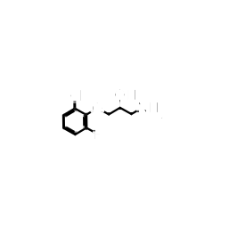 NC[C@@H](O)COc1c(F)cccc1Cl